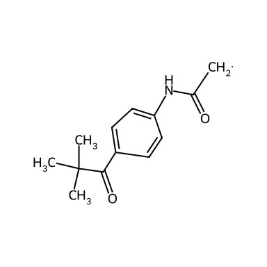 [CH2]C(=O)Nc1ccc(C(=O)C(C)(C)C)cc1